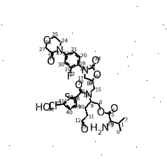 CC(C)[C@H](N)C(=O)OCC(CCC=O)N(C[C@H]1CN(c2ccc(N3CCOCC3=O)cc2F)C(=O)O1)C(=O)c1ccc(Cl)s1.Cl